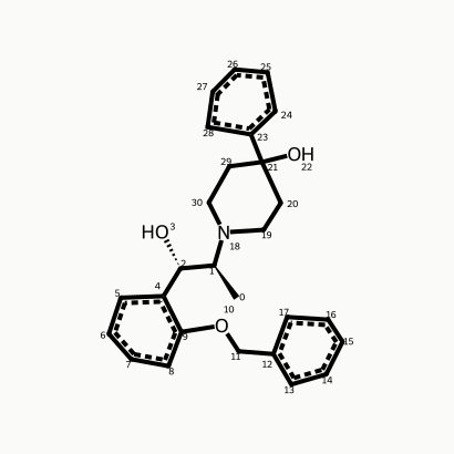 C[C@@H]([C@@H](O)c1ccccc1OCc1ccccc1)N1CCC(O)(c2ccccc2)CC1